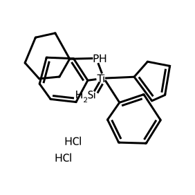 Cl.Cl.[SiH2]=[Ti]([PH]C1CCCCC1)([C]1=CC=CC1)([c]1ccccc1)[c]1ccccc1